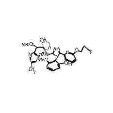 COc1cccc(O)c1-n1c(NS(=O)(=O)[C@@H](C)[C@H](OC)c2ncc(C)cn2)nnc1C1=C=C=CC(OCCF)=N1